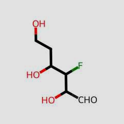 O=CC(O)C(F)C(O)CCO